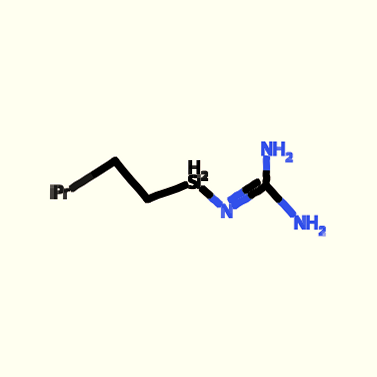 CC(C)CC[SiH2]N=C(N)N